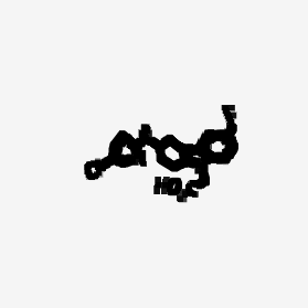 CN(c1ccc(Cl)cn1)C1CCc2c(c3cc(F)ccc3n2CC(=O)O)C1